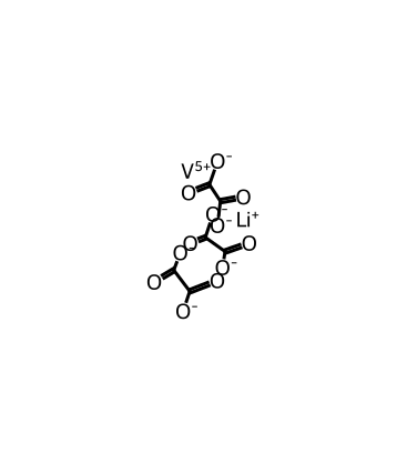 O=C([O-])C(=O)[O-].O=C([O-])C(=O)[O-].O=C([O-])C(=O)[O-].[Li+].[V+5]